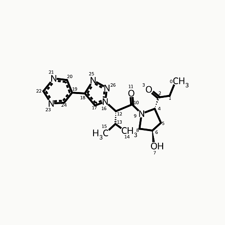 CCC(=O)[C@@H]1C[C@@H](O)CN1C(=O)[C@H](C(C)C)n1cc(-c2cncnc2)nn1